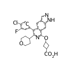 O=C(O)C1CC(Oc2nc(C3CCOCC3)c(-c3ccc(Cl)c(F)c3)c3cc4cn[nH]c4cc23)C1